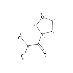 O=C(C(Cl)Cl)N1CCOC1